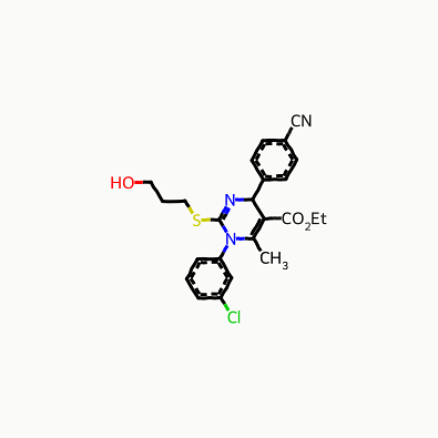 CCOC(=O)C1=C(C)N(c2cccc(Cl)c2)C(SCCCO)=NC1c1ccc(C#N)cc1